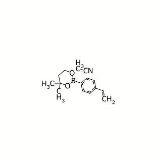 C=Cc1ccc(B2OCCC(C)(C)O2)cc1.CC#N